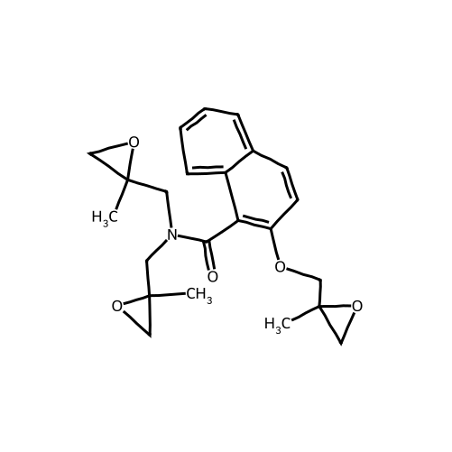 CC1(COc2ccc3ccccc3c2C(=O)N(CC2(C)CO2)CC2(C)CO2)CO1